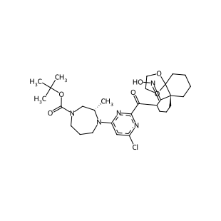 C[C@H]1CN(C(=O)OC(C)(C)C)CCCN1c1cc(Cl)nc(C(=O)C2CCC[C@@]3(CCCCC34OCCO4)/C2=N/O)n1